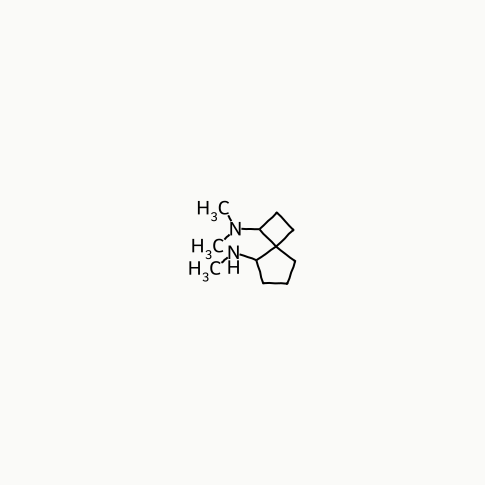 CNC1CCCC12CCC2N(C)C